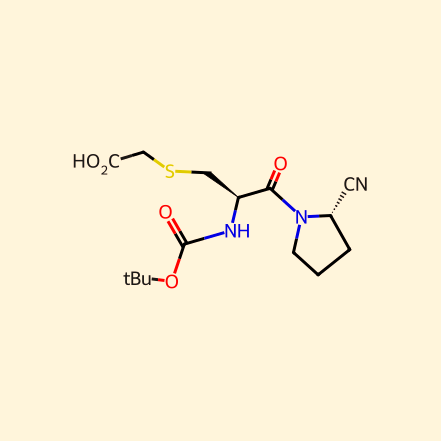 CC(C)(C)OC(=O)N[C@@H](CSCC(=O)O)C(=O)N1CCC[C@H]1C#N